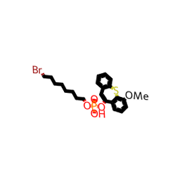 COc1cccc2c1Sc1ccccc1C=C2OP(=O)(O)OCCCCCCCCBr